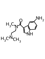 CN(C)CCN(C)C(=O)c1c[nH]c2ccc(N)cc12